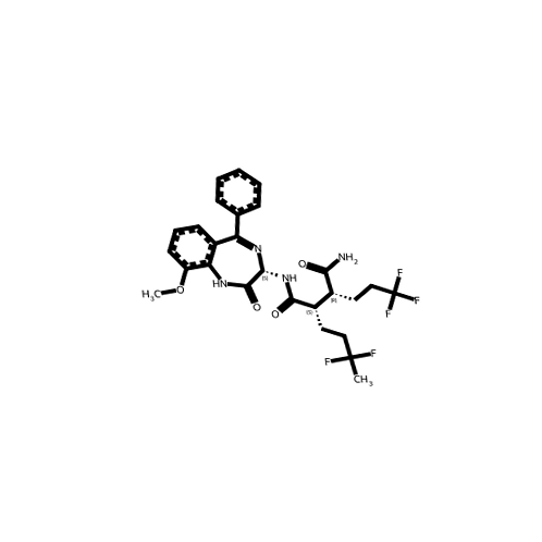 COc1cccc2c1NC(=O)[C@@H](NC(=O)[C@@H](CCC(C)(F)F)[C@@H](CCC(F)(F)F)C(N)=O)N=C2c1ccccc1